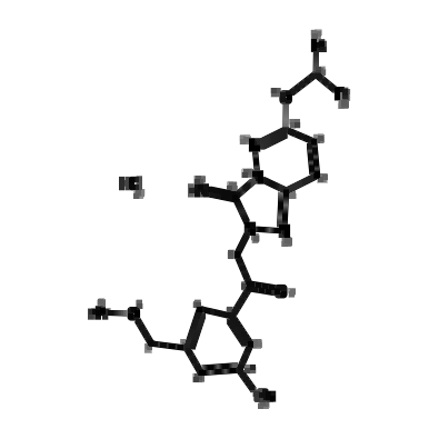 CCCOCc1cc(C(=O)Cn2nc3ccc(OC(CC)CC)nn3c2=N)cc(C(C)(C)C)c1.Cl